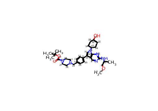 COCC(C)Nc1ncc2c(-c3ccc(CN4CCN(C(=O)OC(C)(C)C)CC4)cc3)cn(C3CCC(O)CC3)c2n1